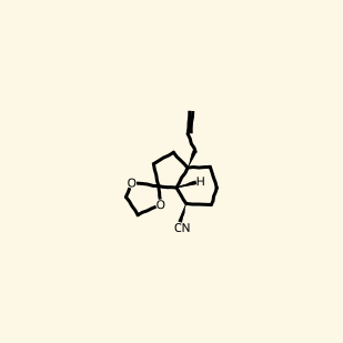 C=CC[C@@]12CCC[C@@H](C#N)[C@@H]1C1(CC2)OCCO1